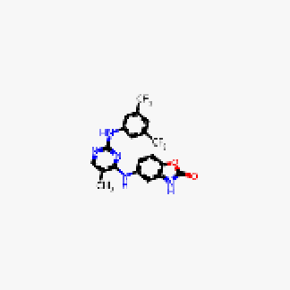 Cc1cnc(Nc2cc(C(F)(F)F)cc(C(F)(F)F)c2)nc1Nc1ccc2oc(=O)[nH]c2c1